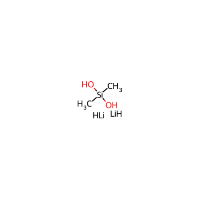 C[Si](C)(O)O.[LiH].[LiH]